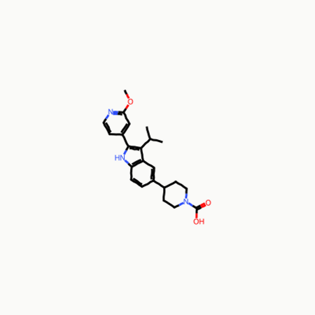 COc1cc(-c2[nH]c3ccc(C4CCN(C(=O)O)CC4)cc3c2C(C)C)ccn1